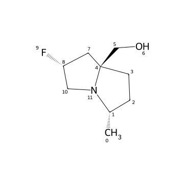 C[C@H]1CC[C@@]2(CO)C[C@@H](F)CN12